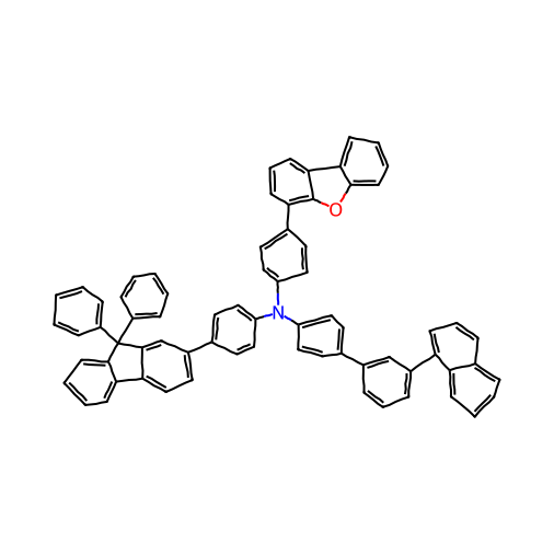 c1ccc(C2(c3ccccc3)c3ccccc3-c3ccc(-c4ccc(N(c5ccc(-c6cccc(-c7cccc8ccccc78)c6)cc5)c5ccc(-c6cccc7c6oc6ccccc67)cc5)cc4)cc32)cc1